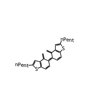 C=c1/c(=c2/ccc3sc(CCCCC)cc3c2=C)ccc2sc(CCCCC)cc12